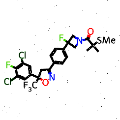 CSC(C)(C)C(=O)N1CC(F)(c2ccc(C3=NOC(c4cc(Cl)c(F)c(Cl)c4)(C(F)(F)F)C3)cc2)C1